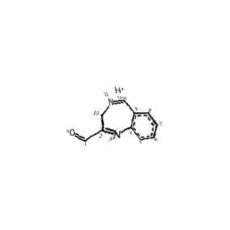 O=CC1=Nc2ccccc2C=NC1.[H+]